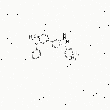 C=C1C=CC(c2ccc3c(C(/C=C\C)=C/C)n[nH]c3c2)=CN1Cc1ccccc1